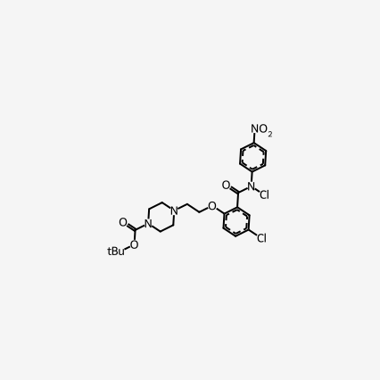 CC(C)(C)OC(=O)N1CCN(CCOc2ccc(Cl)cc2C(=O)N(Cl)c2ccc([N+](=O)[O-])cc2)CC1